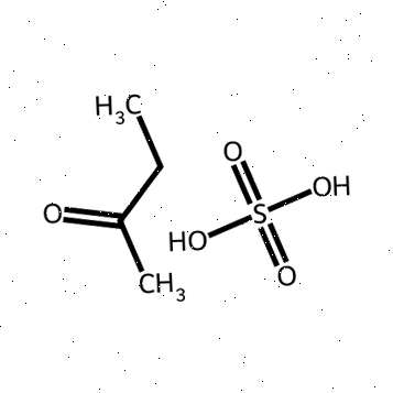 CCC(C)=O.O=S(=O)(O)O